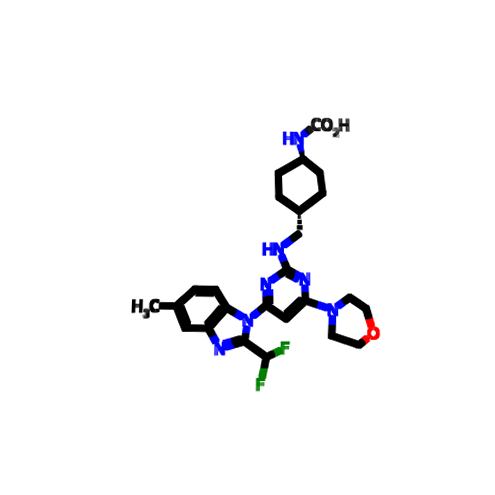 Cc1ccc2c(c1)nc(C(F)F)n2-c1cc(N2CCOCC2)nc(NC[C@H]2CC[C@H](NC(=O)O)CC2)n1